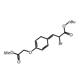 CCCCOC(=O)C(Br)C=C1C=CC(OCC(=O)OC)=CC1